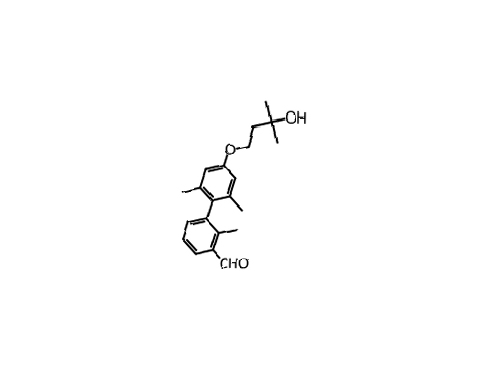 Cc1cc(OCCC(C)(C)O)cc(C)c1-c1cccc(C=O)c1C